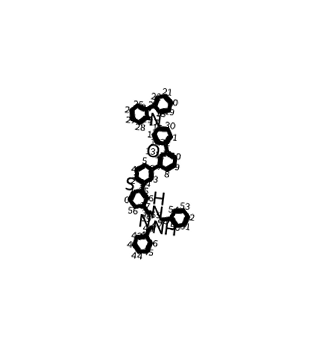 C1=c2sc3ccc(-c4cccc5c4oc4cc(-n6c7ccccc7c7ccccc76)ccc45)cc3c2=CC(C2N=C(c3ccccc3)NC(c3ccccc3)N2)C1